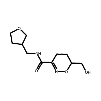 O=C(NCC1CCOC1)C1=NOC(CO)CC1